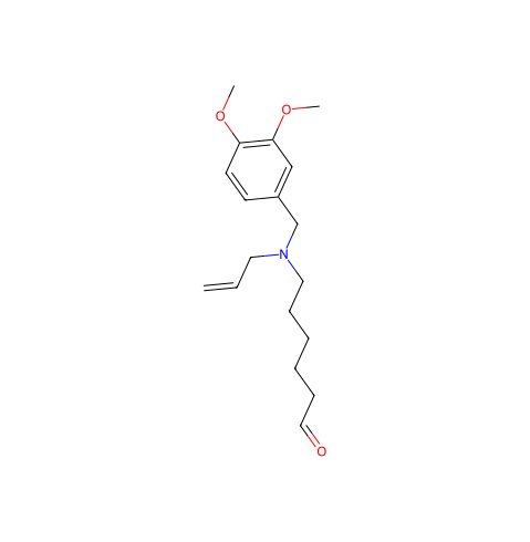 C=CCN(CCCCCC=O)Cc1ccc(OC)c(OC)c1